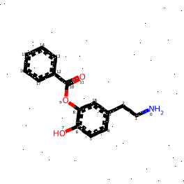 NCCc1ccc(O)c(OC(=O)c2ccccc2)c1